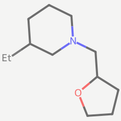 CCC1CCCN(CC2CCCO2)C1